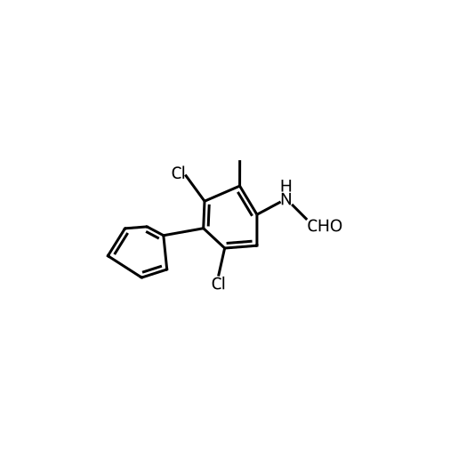 Cc1c(NC=O)cc(Cl)c(-c2ccccc2)c1Cl